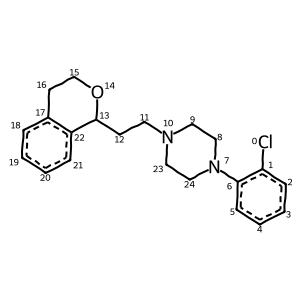 Clc1ccccc1N1CCN(CCC2OCCc3ccccc32)CC1